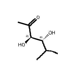 CC(=O)[C@H](O)[C@H](O)C(C)C